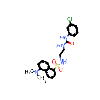 CN(C)c1cccc2c(S(=O)(=O)NCCNC(=O)Nc3cccc(Cl)c3)cccc12